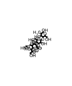 CC1C(O)OC(CO)C(OC2OC(CO)C(O)C(OC3(C(=O)O)CC(O)C(COC=N)C(C(O)C(O)CO)O3)C2O)C1O